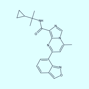 Cc1cc(-c2cccc3conc23)nc2c(C(=O)NC(C)(C)C3CC3)ncn12